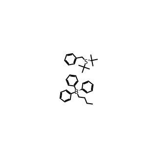 CC(C)(C)[S+](Cc1ccccc1)C(C)(C)C.CCCC[B-](c1ccccc1)(c1ccccc1)c1ccccc1